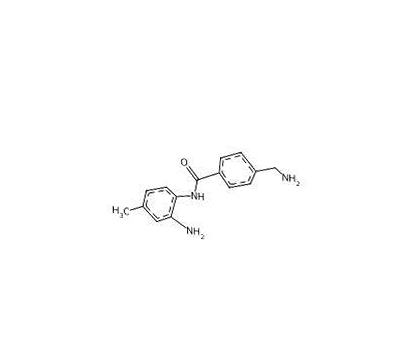 Cc1ccc(NC(=O)c2ccc(CN)cc2)c(N)c1